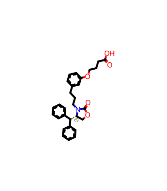 O=C(O)CCCOc1cccc(CCCN2C(=O)OC[C@@H]2C(c2ccccc2)c2ccccc2)c1